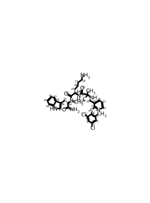 Cc1cc(Cl)cc(Cl)c1Sc1ncccc1CNC(C)(C)C(=O)N[C@@H](CCCCN)C(=O)N(C)[C@@H](Cc1c[nH]c2ccccc12)C(N)=O